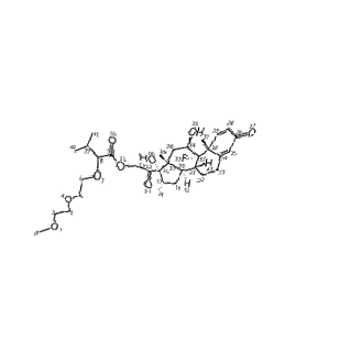 COCCOCCOC(C(=O)OCC(=O)[C@]1(O)[C@@H](C)C[C@@H]2[C@H]3CCC4=CC(=O)C=C[C@@]4(C)[C@]3(F)[C@H](O)C[C@]21C)C(C)C